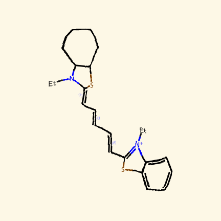 CCN1/C(=C/C=C/C=C/c2sc3ccccc3[n+]2CC)SC2CCCCC21